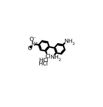 Cl.Cl.Nc1ccc(N)c(-c2ccc([N+](=O)[O-])cc2Cl)c1